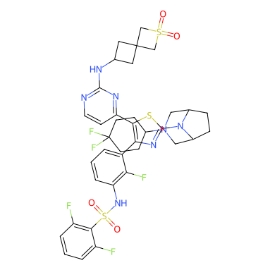 O=S1(=O)CC2(CC(Nc3nccc(-c4sc(N5C6CCC5CN(C5CCC(F)(F)CC5)C6)nc4-c4cccc(NS(=O)(=O)c5c(F)cccc5F)c4F)n3)C2)C1